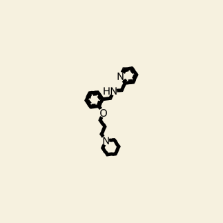 c1ccc(CNCc2ccccc2OCCCN2CCCCC2)nc1